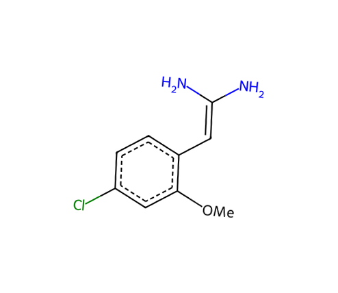 COc1cc(Cl)ccc1C=C(N)N